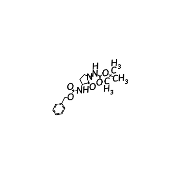 CC(C)(C)OC(=O)NN1CCC(NC(=O)OCc2ccccc2)C1=O